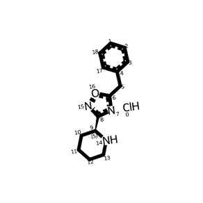 Cl.c1ccc(Cc2nc([C@@H]3CCCCN3)no2)cc1